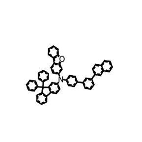 c1ccc(C2(c3ccccc3)c3ccccc3-c3ccc(N(c4ccc(-c5cccc(-c6ccc7ccccc7c6)c5)cc4)c4ccc5c(c4)oc4ccccc45)cc32)cc1